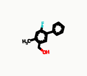 Cc1cc(F)c(-c2ccccc2)cc1CO